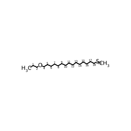 CCCOCCCCCCCCCCCCCCCSC